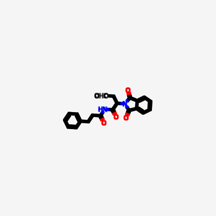 O=CCC(C(=O)NC(=O)CCc1ccccc1)N1C(=O)c2ccccc2C1=O